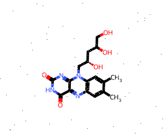 Cc1cc2nc3c(=O)[nH]c(=O)nc-3n(C[C@H](O)CC(O)CO)c2cc1C